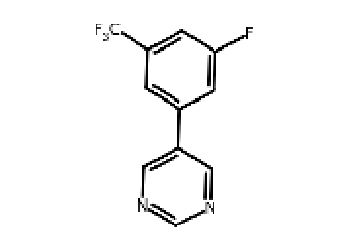 Fc1cc(-c2cncnc2)cc(C(F)(F)F)c1